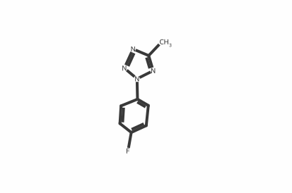 Cc1nnn(-c2ccc(F)cc2)n1